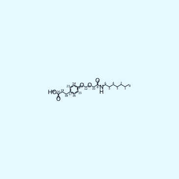 CCCCCCCNC(=O)COCOc1ccc(CCC(=O)O)cc1